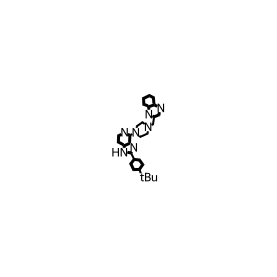 CC(C)(C)c1ccc(-c2nc3c(N4CCN(Cc5cnc6ccccc6n5)CC4)nccc3[nH]2)cc1